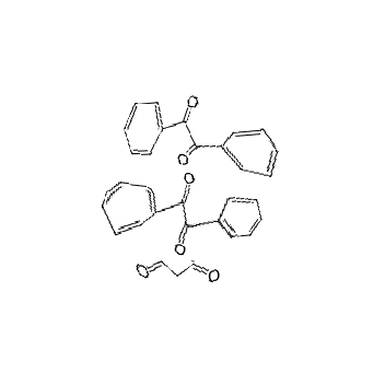 O=C(C(=O)c1ccccc1)c1ccccc1.O=C(C(=O)c1ccccc1)c1ccccc1.O=[C]CC=O